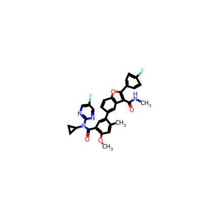 CNC(=O)c1c(-c2ccc(F)cc2)oc2ccc(-c3cc(C(=O)N(c4ncc(F)cn4)C4CC4)c(OC)cc3C)cc12